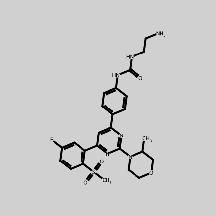 CC1COCCN1c1nc(-c2ccc(NC(=O)NCCN)cc2)cc(-c2cc(F)ccc2S(C)(=O)=O)n1